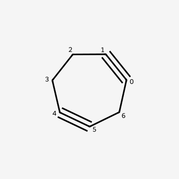 C1#CCCC#CC1